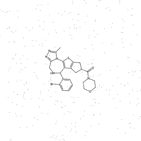 Cc1nnc2n1-c1sc3c(c1C(c1ccccc1Br)NC2)CC(C(=O)N1CCOCC1)C3